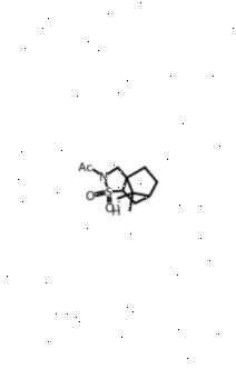 CC(=O)N1CC23CCC(C[C@H]2S1(=O)=O)C3(C)C